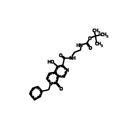 CC(C)(C)OC(=O)NCCNC(=O)c1ncc2c(=O)n(Cc3ccccc3)ccc2c1O